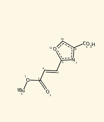 CC(C)(C)OC(=O)/C=C/c1nc(C(=O)O)co1